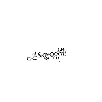 Cc1cc(-n2ccc(N(C)Cc3ccc(Cl)cc3)nc2=O)ccc1OCC(C)(C)O